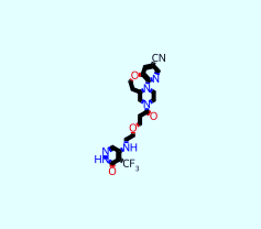 N#Cc1cnc2c(c1)OCCC1CN(C(=O)CCOCCNc3cn[nH]c(=O)c3C(F)(F)F)CCN21